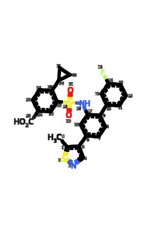 Cc1sncc1-c1ccc(-c2cccc(F)c2)c(NS(=O)(=O)c2cc(C(=O)O)ccc2C2CC2)c1